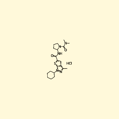 Cc1nn(C2CCCCC2)c2sc(C(=O)NC3CCCN3C(=O)N(C)C)cc12.Cl